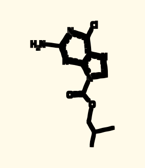 CC(C)COC(=O)n1cnc2c(Cl)nc(N)nc21